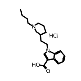 CCCCN1CCCC(CCn2cc(C(=O)O)c3ccccc32)C1.Cl